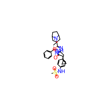 CS(=O)(=O)Nc1ccc(Cc2noc(C3CC4CCC(C3)N4CC[C@H](NC(=O)CC3CC3)c3ccccc3)n2)cc1